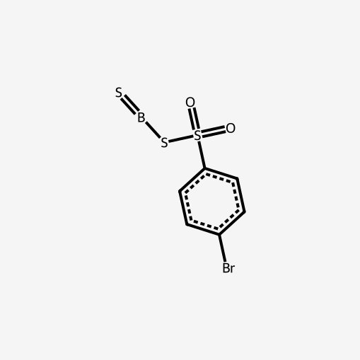 O=S(=O)(SB=S)c1ccc(Br)cc1